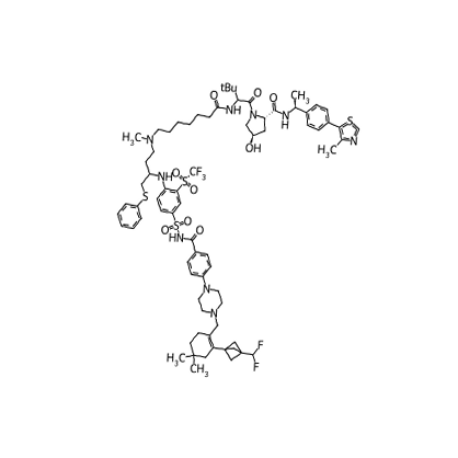 Cc1ncsc1-c1ccc([C@H](C)NC(=O)[C@@H]2C[C@@H](O)CN2C(=O)C(NC(=O)CCCCCCN(C)CCC(CSc2ccccc2)Nc2ccc(S(=O)(=O)NC(=O)c3ccc(N4CCN(CC5=C(C67CC(C(F)F)(C6)C7)CC(C)(C)CC5)CC4)cc3)cc2S(=O)(=O)C(F)(F)F)C(C)(C)C)cc1